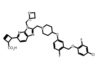 O=C(O)C1C#CC1c1ccc2nc(CN3CCC(Oc4ccc(F)c(COc5ccc(Cl)cc5F)c4)CC3)n(C[C@@H]3CCO3)c2n1